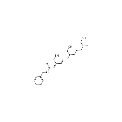 CC(CS)CCCC(CS)CC=CC(=CC(=O)OCc1ccccc1)CS